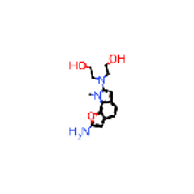 Cn1c(N(CCO)CCO)cc2ccc3cc(N)oc3c21